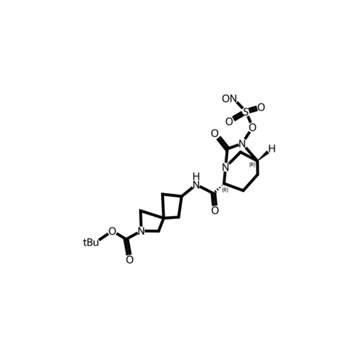 CC(C)(C)OC(=O)N1CC2(CC(NC(=O)[C@H]3CC[C@@H]4CN3C(=O)N4OS(=O)(=O)N=O)C2)C1